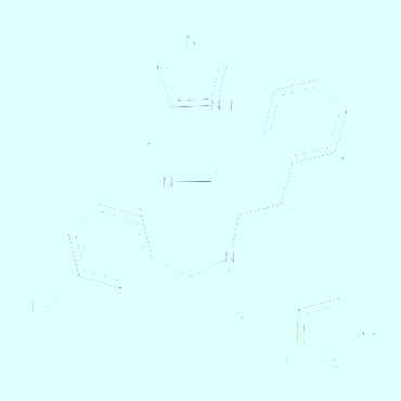 Cc1ccc2c(c1)CN(S(=O)(=O)c1cccs1)C(Cc1ccccc1)CN2Cc1cnc[nH]1